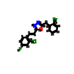 Fc1ccc(/C=C/c2nnc(Cc3ccccc3Br)o2)c(Cl)c1